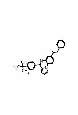 CC(C)(C)c1ccc(-c2nc3cc(SCc4ccccc4)ccc3n3cccc23)cc1